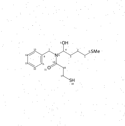 CSCCCC(O)N(Cc1ccccc1)C(=O)CCS